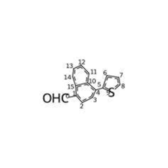 O=Cc1ccc(-c2cccs2)c2ccccc12